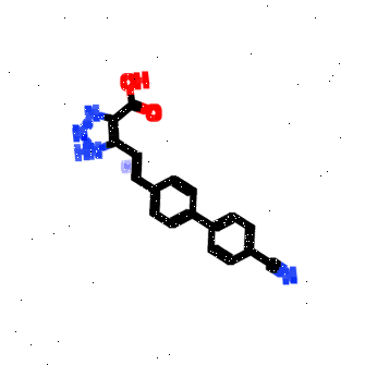 N#Cc1ccc(-c2ccc(/C=C/c3[nH]nnc3C(=O)O)cc2)cc1